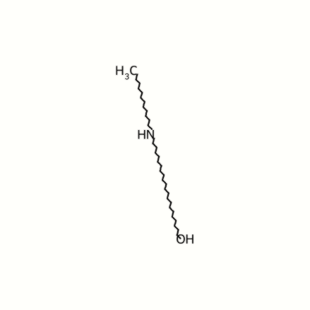 CCCCCCCCCCCCCCNCCCCCCCCCCCCCCCCCCCCCCO